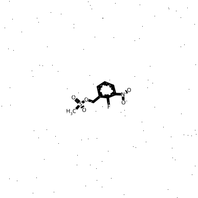 CS(=O)(=O)OCc1cccc([N+](=O)[O-])c1F